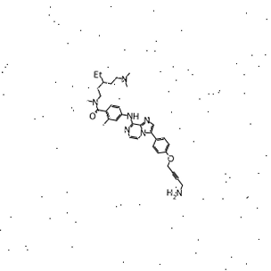 CCC(CCN(C)C)CCN(C)C(=O)c1ccc(Nc2nccn3c(-c4ccc(OCC#CCN)cc4)cnc23)cc1C